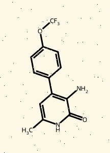 Cc1cc(-c2ccc(OC(F)(F)F)cc2)c(N)c(=O)[nH]1